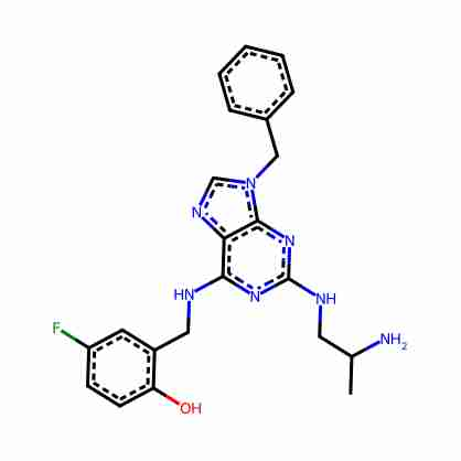 CC(N)CNc1nc(NCc2cc(F)ccc2O)c2ncn(Cc3ccccc3)c2n1